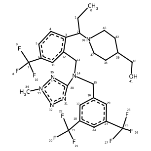 CCC(c1ccc(C(F)(F)F)cc1CN(Cc1cc(C(F)(F)F)cc(C(F)(F)F)c1)c1nnn(C)n1)N1CCC(CO)CC1